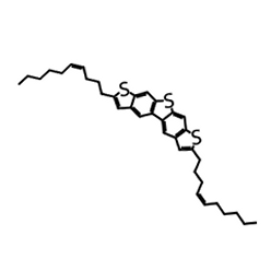 CCCCC/C=C\CCCc1cc2cc3c(cc2s1)sc1cc2sc(CCC/C=C\CCCCC)cc2cc13